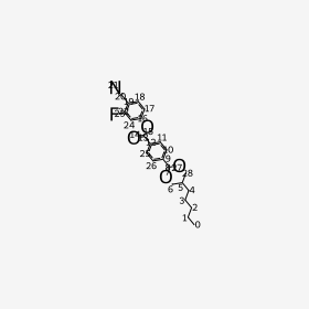 CCCCCC1COC(c2ccc(C(=O)Oc3ccc(C#N)c(F)c3)cc2)OC1